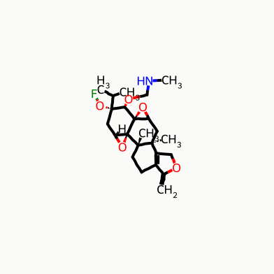 C=C1OCC2=C1CC[C@]1(C)[C@]34O[C@H]3C[C@@](OF)(C(C)C)[C@@H](OCNC)[C@@]43OC3C[C@@]21C